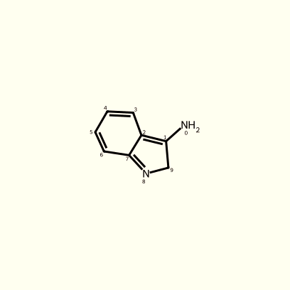 NC1=c2ccccc2=NC1